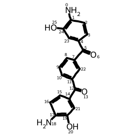 Nc1ccc(C(=O)c2cccc(C(=O)c3ccc(N)c(O)c3)c2)cc1O